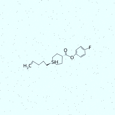 C=CCCC[Si@H]1CC[C@H](C(=O)Oc2ccc(F)cc2)CC1